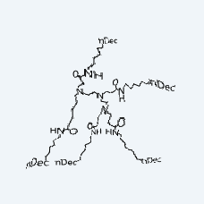 CCCCCCCCCCCCCCCCNC(=O)CCCCCN(CCC(=O)NCCCCCCCCCCCCCCCC)CCN(CCC(=O)NCCCCCCCCCCCCCCCC)CCN(CCC(=O)NCCCCCCCCCCCCCCCC)CCC(=O)NCCCCCCCCCCCCCCCC